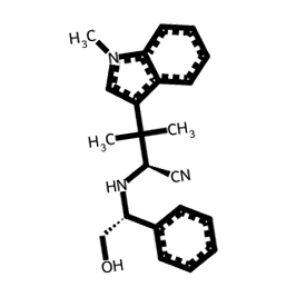 Cn1cc(C(C)(C)[C@@H](C#N)N[C@@H](CO)c2ccccc2)c2ccccc21